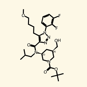 COCCCCc1c(C(=O)N(CC(C)C)[C@H]2C[C@@H](CO)CN(C(=O)OC(C)(C)C)C2)nnn1-c1cccc(F)c1F